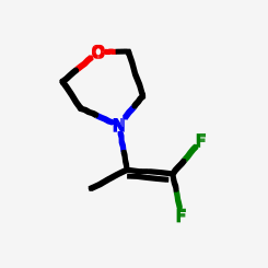 CC(=C(F)F)N1CCOCC1